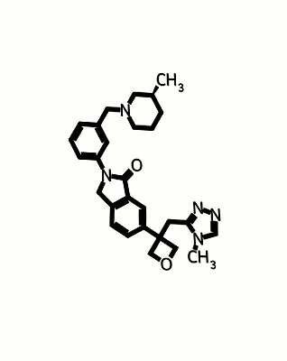 C[C@H]1CCCN(Cc2cccc(N3Cc4ccc(C5(Cc6nncn6C)COC5)cc4C3=O)c2)C1